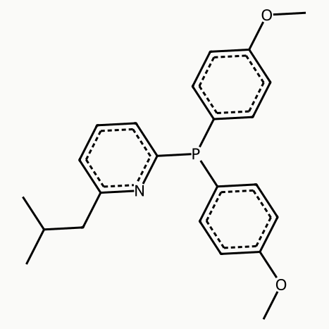 COc1ccc(P(c2ccc(OC)cc2)c2cccc(CC(C)C)n2)cc1